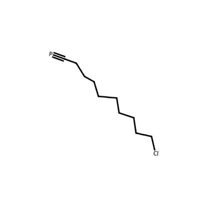 P#CCCCCCCCCCCl